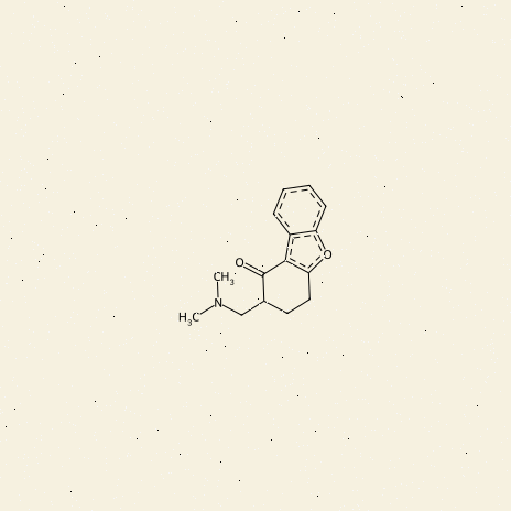 CN(C)CC1CCc2oc3ccccc3c2C1=O